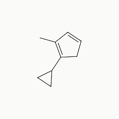 CC1=C(C2CC2)CC=C1